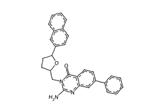 Nc1nc2cc(-c3ccccc3)ccc2c(=O)n1CC1CCC(c2ccc3ccccc3c2)O1